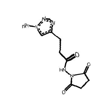 CCCn1cc(CCC(=O)NN2C(=O)CCC2=O)nn1